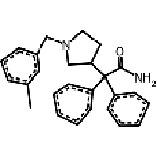 Cc1cccc(CN2CCC(C(C(N)=O)(c3ccccc3)c3ccccc3)C2)c1